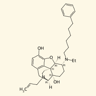 C=CCN1CC[C@]23c4c5ccc(O)c4O[C@H]2[C@H](N(CC)CCCCCCc2ccccc2)CC[C@@]3(O)[C@H]1C5